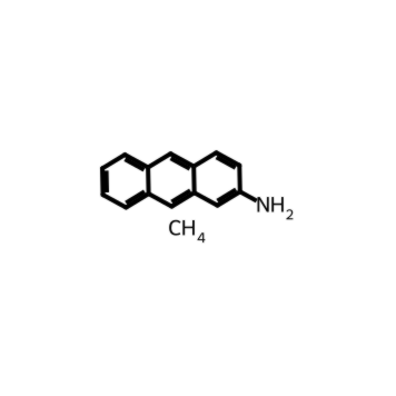 C.Nc1ccc2cc3ccccc3cc2c1